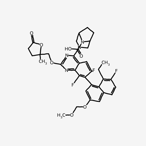 CCc1c(F)ccc2cc(OCOC)cc(-c3c(F)cc4c(N5CC6CCC(C5)N6C(=O)O)nc(OCC5(C)CCC(=O)O5)nc4c3F)c12